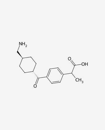 CC(C(=O)O)c1ccc(C(=O)[C@H]2CC[C@H](CN)CC2)cc1